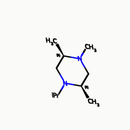 CC(C)N1C[C@@H](C)N(C)C[C@H]1C